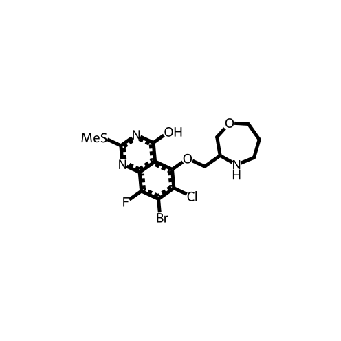 CSc1nc(O)c2c(OCC3COCCCN3)c(Cl)c(Br)c(F)c2n1